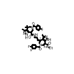 CCNC(=O)C1=CN(C(=O)c2ccc(F)c(F)c2)C[C@@](C)(CCCNC(=O)C2=CN(C(=O)c3ccc(F)cc3)CC(C)(C)c3c(C)n[nH]c32)c2c(C)n[nH]c21